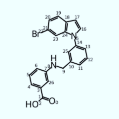 O=C(O)c1cccc(NCc2cccc(-n3ccc4ccc(Br)cc43)c2)c1